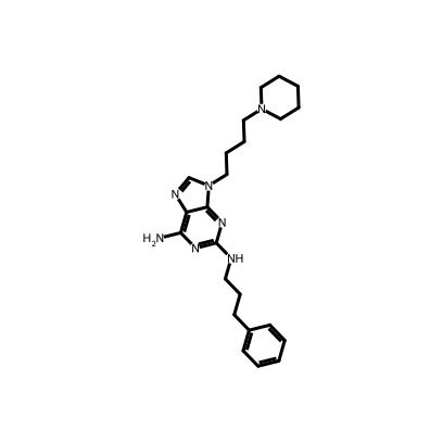 Nc1nc(NCCCc2ccccc2)nc2c1ncn2CCCCN1CCCCC1